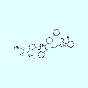 CC(C)(C)OC(=O)C(N)c1cccc(Oc2ccccc2N(CCCCNC(=O)c2ccccc2F)C(=O)c2ccc(-c3ccccc3)cc2)c1